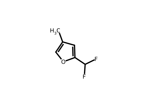 Cc1coc(C(F)F)c1